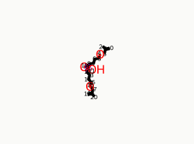 C=C(C)COCCCCP(=O)(O)CCCCOCC(=C)C